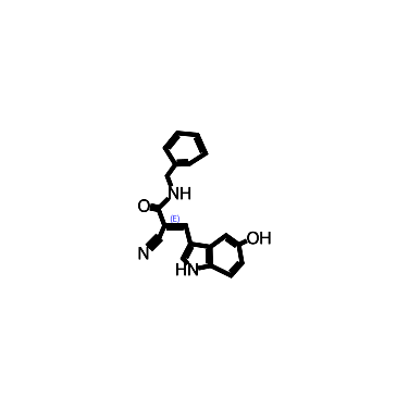 N#C/C(=C\c1c[nH]c2ccc(O)cc12)C(=O)NCc1ccccc1